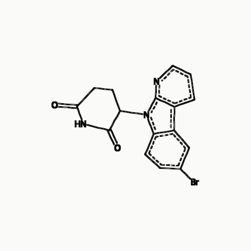 O=C1CCC(n2c3ccc(Br)cc3c3cccnc32)C(=O)N1